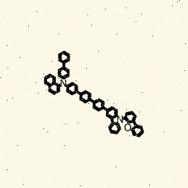 c1ccc(-c2ccc(N(c3ccc(-c4ccc(-c5ccc(-c6ccc7c(c6)c6ccccc6n7-c6cccc7c6oc6ccccc67)cc5)cc4)cc3)c3cccc4ccccc34)cc2)cc1